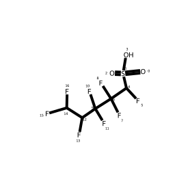 O=S(=O)(O)C(F)C(F)(F)C(F)(F)C(F)C(F)F